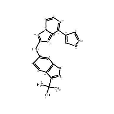 CC(C)(O)c1n[nH]c2cc(Nc3nc4c(-c5cn[nH]c5)nccn4n3)ccc12